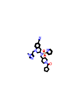 Cn1cncc1CN1CC(N(CC2CCN(C(=O)C3CCCC3)CC2)S(=O)(=O)c2ccccn2)Cc2cc(C#N)ccc21